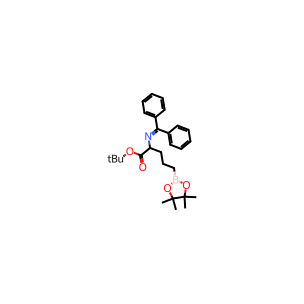 CC(C)(C)OC(=O)C(CCCB1OC(C)(C)C(C)(C)O1)N=C(c1ccccc1)c1ccccc1